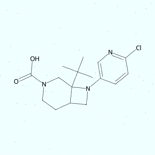 CC(C)(C)C12CN(C(=O)O)CCC1CN2c1ccc(Cl)nc1